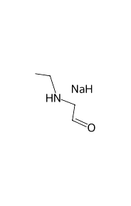 CCNCC=O.[NaH]